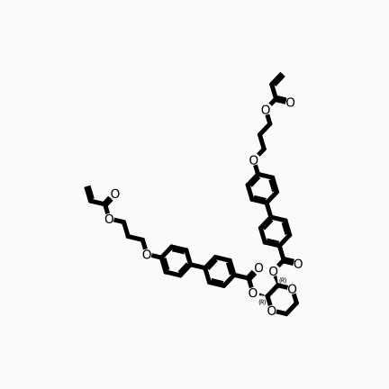 C=CC(=O)OCCCOc1ccc(-c2ccc(C(=O)O[C@H]3OCCO[C@@H]3OC(=O)c3ccc(-c4ccc(OCCCOC(=O)C=C)cc4)cc3)cc2)cc1